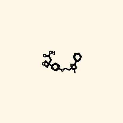 Cc1sc(-c2ccccc2)nc1CCOc1ccc(C2(CC(=O)O)COC2)cc1